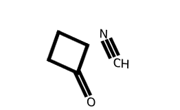 C#N.O=C1CCC1